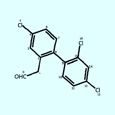 O=CCc1cc(Cl)ccc1-c1ccc(Cl)cc1Cl